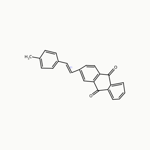 Cc1ccc(/C=C/c2ccc3c(c2)C(=O)c2ccccc2C3=O)cc1